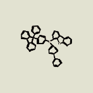 c1ccc(-c2ccc(N(c3ccc(C4(c5ccccc5)c5ccccc5-c5ccccc54)cc3)c3cccc4c3oc3ccccc34)cc2)cc1